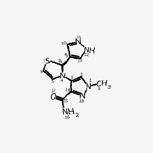 Cn1cc(N2C=CSC2c2cn[nH]c2)c(C(N)=O)n1